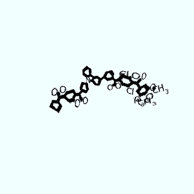 COc1cc(C2=c3c(Cl)c4c(c(Cl)c3OC2=O)=C(c2cccc(-c3ccc5c(c3)c3ccccc3n5-c3ccc(C5=c6cc7c(cc6OC5=O)=C(c5ccccc5)C(=O)O7)cc3)c2)C(=O)O4)cc(OC)c1OC